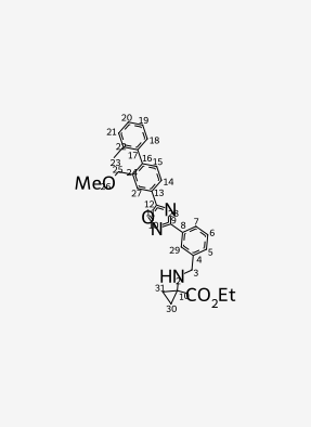 CCOC(=O)C1(NCc2cccc(-c3noc(-c4ccc(-c5ccccc5C)c(COC)c4)n3)c2)CC1